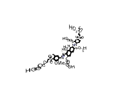 COc1cc(S(=O)(=O)CCOSOOO)c(C)cc1/N=N/c1c(SOOO)cc2cc(S(=O)(=O)O)c(/N=N/c3ccc(S(=O)(=O)CCOS(=O)(=O)O)cc3SOOO)c(N)c2c1O